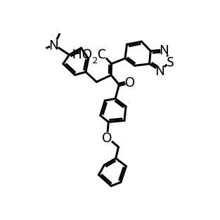 CN(C)c1ccc(CC(C(=O)c2ccc(OCc3ccccc3)cc2)=C(C(=O)O)c2ccc3nsnc3c2)cc1